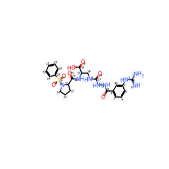 N=C(N)Nc1cccc(C(=O)NNC(=O)NCC(NC(=O)C2CCCN2S(=O)(=O)c2ccccc2)C(=O)O)c1